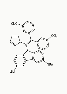 CC(C)(C)c1ccc2c(c1)-c1cc(C(C)(C)C)ccc1[CH]2[Zr](=[C](c1cccc(C(Cl)(Cl)Cl)c1)c1cccc(C(Cl)(Cl)Cl)c1)[CH]1C=CC=C1